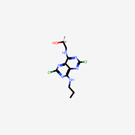 CCCNc1nc(Cl)nc2c(NC[C@@H](C)O)nc(Cl)nc12